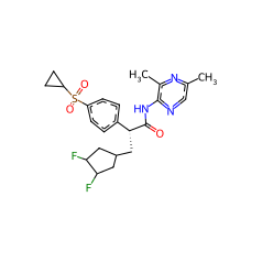 Cc1cnc(NC(=O)[C@H](CC2CC(F)C(F)C2)c2ccc(S(=O)(=O)C3CC3)cc2)c(C)n1